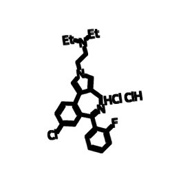 CCN(CC)CCn1cc2c(c1)-c1ccc(Cl)cc1C(c1ccccc1F)=NC2.Cl.Cl